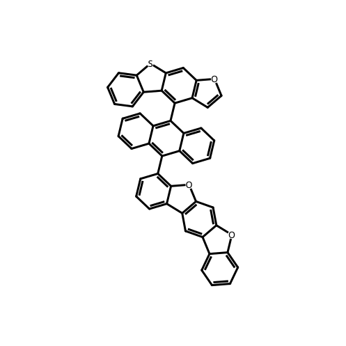 c1ccc2c(c1)oc1cc3oc4c(-c5c6ccccc6c(-c6c7ccoc7cc7sc8ccccc8c67)c6ccccc56)cccc4c3cc12